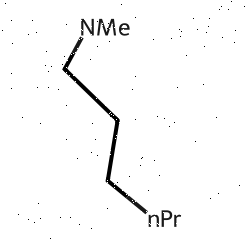 [CH2]CCCCCNC